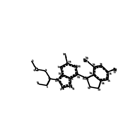 CCC(COC)n1nnc2c(N3CCc4cc(Br)cc(Br)c43)nc(C)cc21